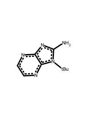 CC(C)(C)n1c(N)nc2nccnc21